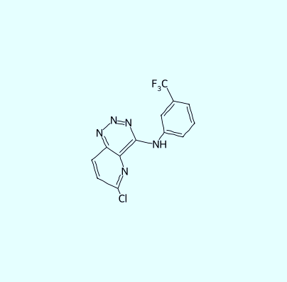 FC(F)(F)c1cccc(Nc2nnnc3ccc(Cl)nc23)c1